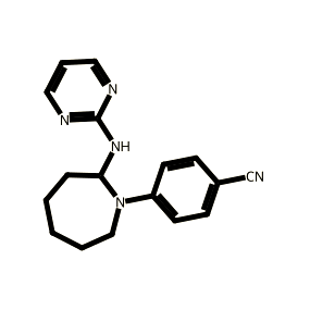 N#Cc1ccc(N2CCCCCC2Nc2ncccn2)cc1